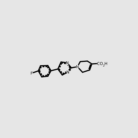 O=C(O)C1=CCN(c2ncc(-c3ccc(F)cc3)cn2)CC1